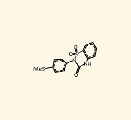 CSc1ccc(N2C(=O)Nc3ccccc3S2(=O)=O)cc1